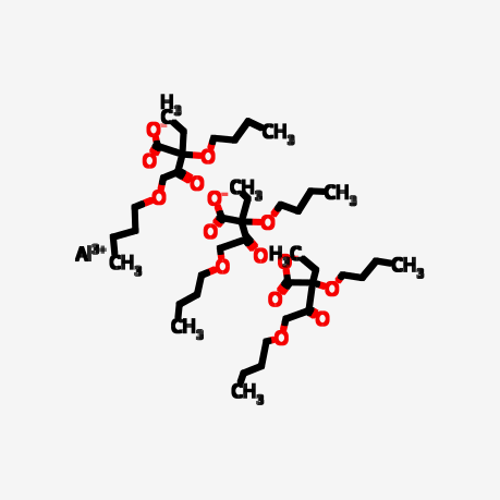 CCCCOCC(=O)C(CC)(OCCCC)C(=O)[O-].CCCCOCC(=O)C(CC)(OCCCC)C(=O)[O-].CCCCOCC(=O)C(CC)(OCCCC)C(=O)[O-].[Al+3]